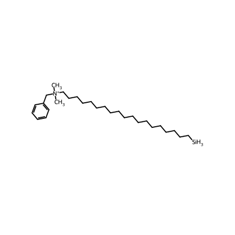 C[N+](C)(CCCCCCCCCCCCCCCCCCC[SiH3])Cc1ccccc1